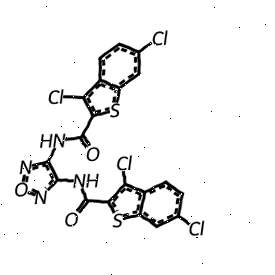 O=C(Nc1nonc1NC(=O)c1sc2cc(Cl)ccc2c1Cl)c1sc2cc(Cl)ccc2c1Cl